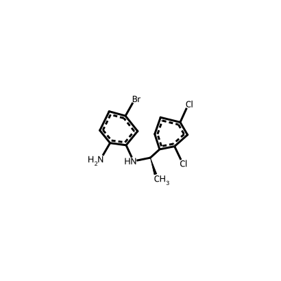 C[C@@H](Nc1cc(Br)ccc1N)c1ccc(Cl)cc1Cl